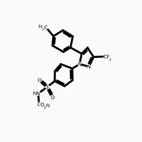 Cc1ccc(-c2cc(C(F)(F)F)nn2-c2ccc(S(=O)(=O)NC(=O)O)cc2)cc1